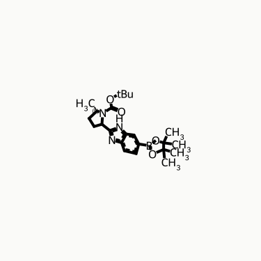 C[C@H]1CCC(c2nc3ccc(B4OC(C)(C)C(C)(C)O4)cc3[nH]2)N1C(=O)OC(C)(C)C